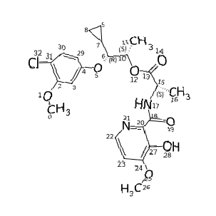 COc1cc(O[C@H](C2CC2)[C@H](C)OC(=O)[C@H](C)NC(=O)c2nccc(OC)c2O)ccc1Cl